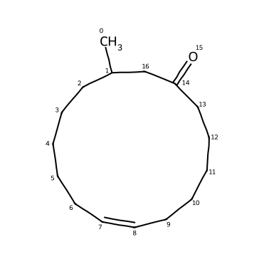 CC1CCCCCC=CCCCCCC(=O)C1